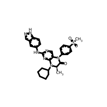 C[C@@H]1C(=O)N(c2ccc(S(C)(=O)=O)cc2)c2cnc(Nc3ccc4[nH]ncc4c3)nc2N1C1CCCCC1